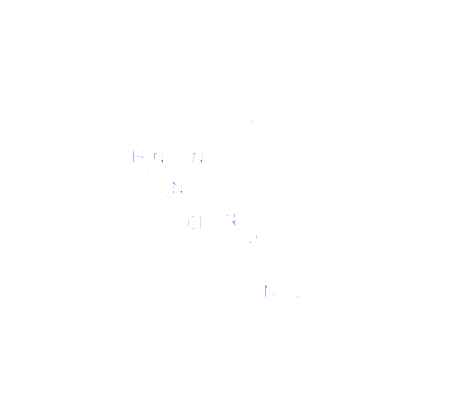 Cc1nc(N)nc2c1C(=NOCCN1CCCC1)CC(c1ccccc1-c1ccccc1)C2